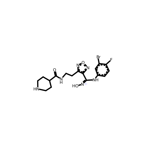 O=C(NCCc1nonc1/C(=N\O)Nc1ccc(F)c(Br)c1)C1CCNCC1